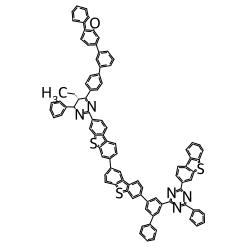 CC[C@@H]1C(c2ccc(-c3cccc(-c4ccc5c(c4)oc4ccccc45)c3)cc2)=NC(c2ccc3c(c2)sc2cc(-c4ccc5sc6cc(-c7cc(-c8ccccc8)cc(-c8nc(-c9ccccc9)nc(-c9ccc%10c(c9)sc9ccccc9%10)n8)c7)ccc6c5c4)ccc23)=NC1c1ccccc1